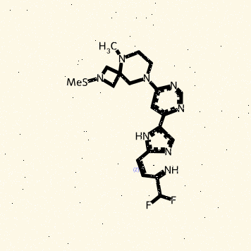 CSN1CC2(C1)CN(c1cc(-c3cnc(/C=C\C(=N)C(F)F)[nH]3)ncn1)CCN2C